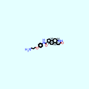 C[C@]12C=CC(=O)N[C@@H]1CC[C@@H]1[C@@H]2CC[C@]2(C)[C@@H](C(=O)Nc3ccc(OCCCN)cc3)CC[C@@H]12